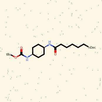 CCCCCCCCCCCCCCCC(=O)N[C@H]1CC[C@@H](NC(=O)OC(C)(C)C)CC1